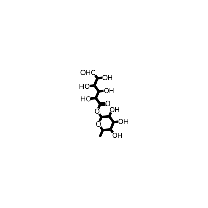 CC1OC(OC(=O)C(O)C(O)C(O)C(O)C=O)C(O)C(O)C1O